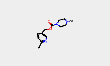 CCN1CCN(C(=O)OCc2ccc(C)nc2)CC1